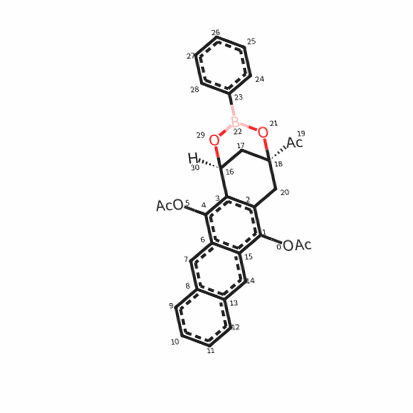 CC(=O)Oc1c2c(c(OC(C)=O)c3cc4ccccc4cc13)[C@@H]1C[C@](C(C)=O)(C2)OB(c2ccccc2)O1